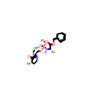 COC[C@@]1(COP(=O)(N[C@H](C(=O)OCc2ccccc2)C(C)C)OC(C)C)C(=O)[C@@H]2CCN1[C@@H](C)C2